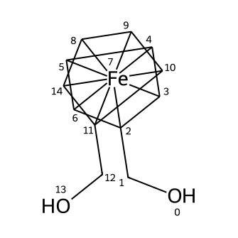 OC[C]12[CH]3[CH]4[CH]5[CH]1[Fe]45321678[CH]2[CH]1[CH]6[C]7(CO)[CH]28